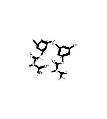 CCCC(=O)N(C)C(=O)Oc1cc(C)cc(C(C)C)c1.CCCC(=O)N(C)C(=O)Oc1cc(C)cc(C(C)C)c1